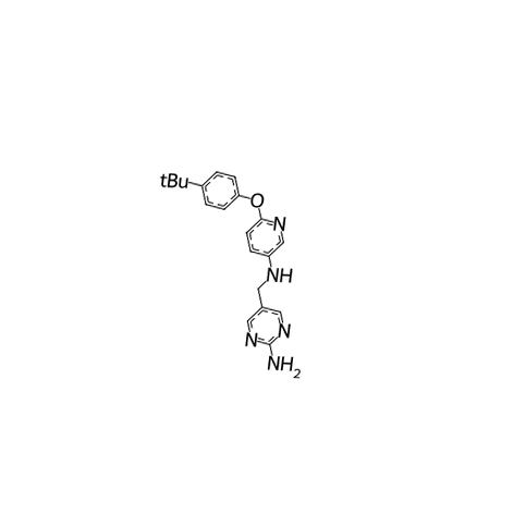 CC(C)(C)c1ccc(Oc2ccc(NCc3cnc(N)nc3)cn2)cc1